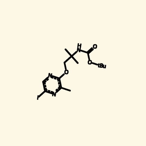 Cc1nc(I)cnc1OCC(C)(C)NC(=O)OC(C)(C)C